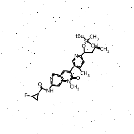 C=CCC(O[Si](C)(C)C(C)(C)C)c1cc(C)c(-c2cc3cnc(NC(=O)[C@H]4C[C@H]4F)cc3n(C)c2=O)cn1